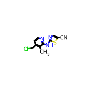 Cc1c(CCl)ccnc1Nc1ncc(C#N)s1